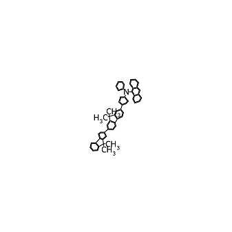 CC1(C)c2ccccc2-c2ccc(-c3ccc4c(c3)C(C)(C)c3cc(-c5ccc(N(c6ccccc6)c6c7ccccc7cc7ccccc67)cc5)ccc3-4)cc21